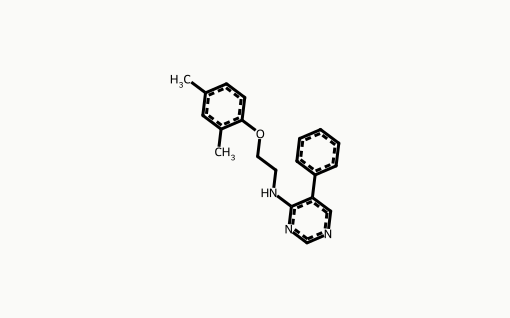 Cc1ccc(OCCNc2ncncc2-c2ccccc2)c(C)c1